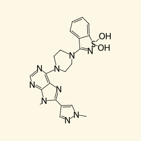 Cn1cc(-c2nc3c(N4CCN(C5=NS(O)(O)c6ccccc65)CC4)ncnc3n2C)cn1